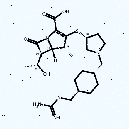 C[C@@H](O)[C@H]1C(=O)N2C(C(=O)O)=C(S[C@@H]3CCN(C[C@H]4CC[C@H](CNC(=N)N)CC4)C3)[C@H](C)[C@H]12